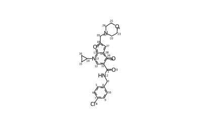 O=C(NCc1ccc(Cl)cc1)c1cn(C2CC2)c2oc(CN3CCOCC3)cc2c1=O